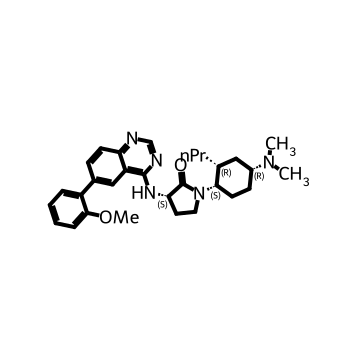 CCC[C@@H]1C[C@H](N(C)C)CC[C@@H]1N1CC[C@H](Nc2ncnc3ccc(-c4ccccc4OC)cc23)C1=O